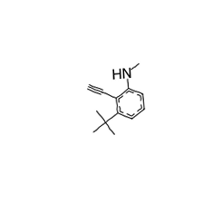 C#Cc1c(NC)cccc1C(C)(C)C